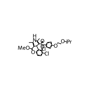 COC(=O)C1=C(C)NC(C)=C(S(=O)(=O)c2ccc(OCCOC(C)C)cc2)C1c1cccc(Cl)c1Cl